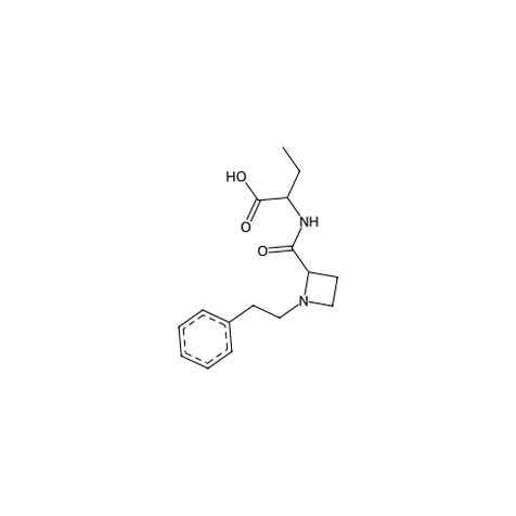 CCC(NC(=O)C1CCN1CCc1ccccc1)C(=O)O